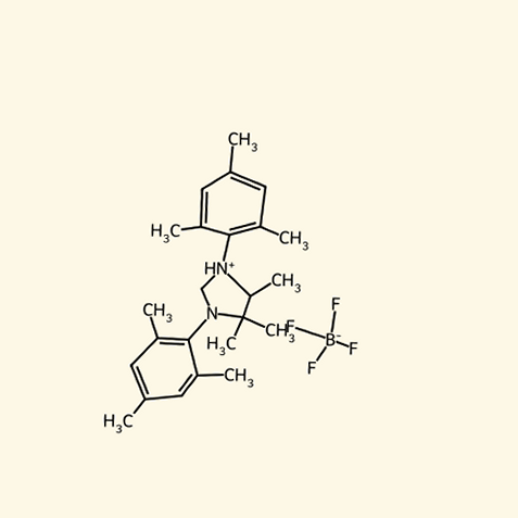 Cc1cc(C)c(N2C[NH+](c3c(C)cc(C)cc3C)C(C)C2(C)C)c(C)c1.F[B-](F)(F)F